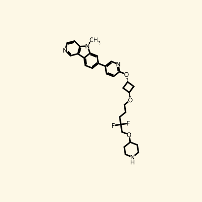 Cn1c2ccncc2c2ccc(-c3ccc(O[C@H]4C[C@H](OCCCC(F)(F)COC5CCNCC5)C4)nc3)cc21